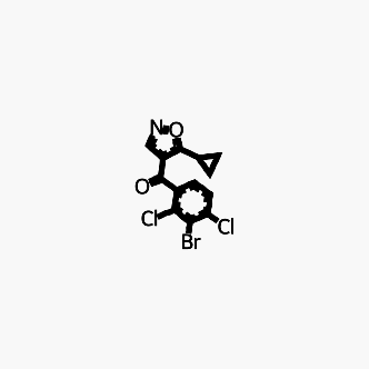 O=C(c1cnoc1C1CC1)c1ccc(Cl)c(Br)c1Cl